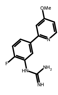 COc1ccnc(-c2ccc(F)c(NC(=N)N)c2)c1